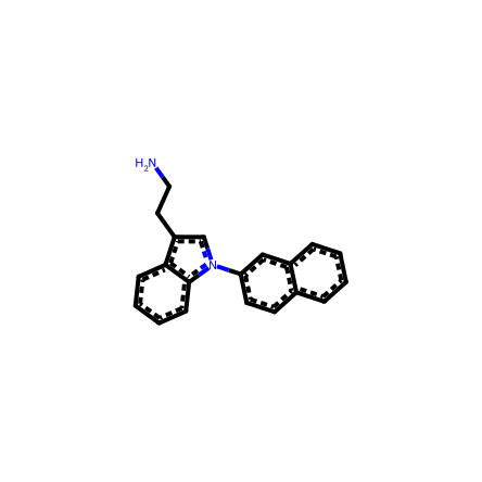 NCCc1cn(-c2ccc3ccccc3c2)c2ccccc12